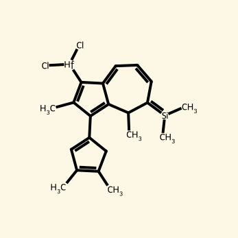 CC1=C(C)CC(C2=C3C(=CC=CC(=[Si](C)C)C3C)[C]([Hf]([Cl])[Cl])=C2C)=C1